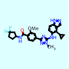 COc1cc(-c2nc(Nc3ccc4[nH]ncc4c3C3CC3)n(C)n2)ccc1C(=O)NC1CCC(F)(F)C1